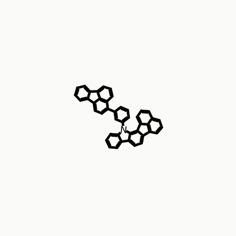 c1cc(-c2ccc3c4c(cccc24)-c2ccccc2-3)cc(-n2c3ccccc3c3ccc4c(c32)-c2cccc3cccc-4c23)c1